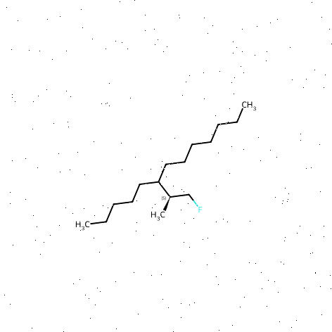 CCCCCCCC(CCCCC)[C@H](C)CF